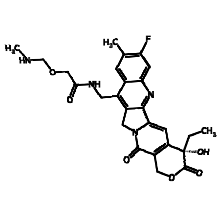 CC[C@@]1(O)C(=O)OCc2c1cc1n(c2=O)Cc2c-1nc1cc(F)c(C)cc1c2CNC(=O)COCNC